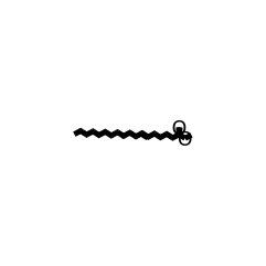 CCCCCCCCCCCC=CCCCCC(=O)OC